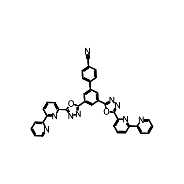 N#Cc1ccc(-c2cc(-c3nnc(-c4cccc(-c5ccccn5)n4)o3)cc(-c3nnc(-c4cccc(-c5ccccn5)n4)o3)c2)cc1